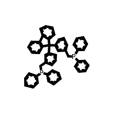 c1ccc(P(Cc2cccc(C3(c4cccc(CP(c5ccccc5)c5ccccc5)c4)c4ccccc4-c4ccccc43)c2)c2ccccc2)cc1